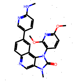 CNc1ccc(-c2ccc3ncc4c(c3c2)n(-c2ccc(OC)nc2OC)c(=O)n4C)cn1